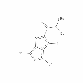 CCCCC(CC)C(=O)c1sc2c(Br)sc(Br)c2c1F